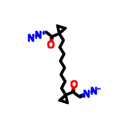 [N-]=[N+]=CC(=O)C1(CCCCCCCCC2(C(=O)C=[N+]=[N-])CC2)CC1